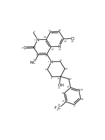 Cn1c(=O)c(C#N)c(N2CCC(O)(Cc3cc(C(F)(F)F)ccn3)CC2)c2nc(Cl)ccc21